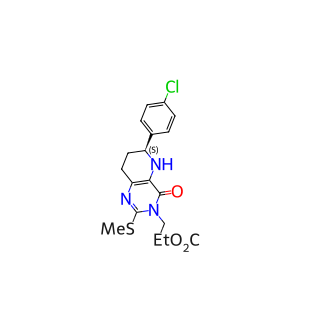 CCOC(=O)Cn1c(SC)nc2c(c1=O)N[C@H](c1ccc(Cl)cc1)CC2